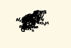 CC1COc2ccccc2N1C(=O)C(Cl)Cl.CCCCCOC(=O)COc1cc(N2C(=O)C3=C(CCCC3)C2=O)c(F)cc1Cl.CCc1cccc(C)c1N(C(=O)CCl)C(C)COC.CP(=O)(O)CCC(N)C(=O)O